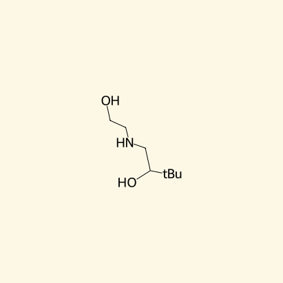 CC(C)(C)C(O)CNCCO